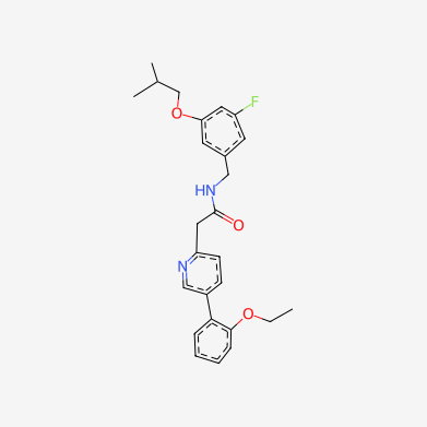 CCOc1ccccc1-c1ccc(CC(=O)NCc2cc(F)cc(OCC(C)C)c2)nc1